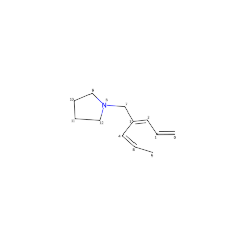 C=C/C=C(\C=C/C)CN1CCCC1